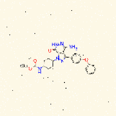 CC(C)(C)OC(=O)N[C@H]1CC[C@@H](n2nc(-c3ccc(Oc4ccccc4)cc3)c3c(N)n[nH]c(=O)c32)CC1